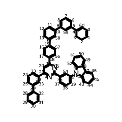 C1=CCCC(c2cccc(-c3cccc(-c4ccc(-c5cc(-c6cccc(-c7ccccc7)c6)nc(-c6cccc(-n7c8ccccc8c8ccccc87)c6)n5)cc4)c3)c2)=C1